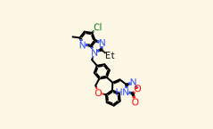 CCc1nc2c(Cl)cc(C)nc2n1Cc1ccc2c(c1)COc1ccccc1C2=Cc1noc(=O)[nH]1